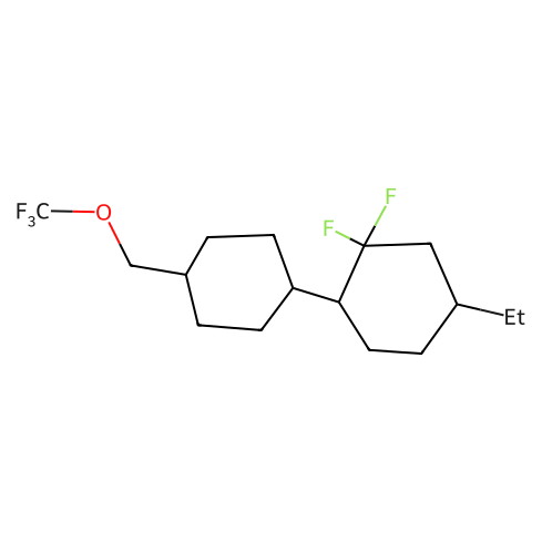 CCC1CCC(C2CCC(COC(F)(F)F)CC2)C(F)(F)C1